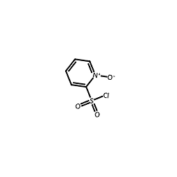 O=S(=O)(Cl)c1cccc[n+]1[O-]